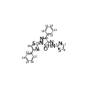 O=C1C(=NNc2nccs2)C(c2ccccc2)=NN1c1nc(-c2ccccc2)cs1